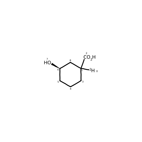 [2H]C1(C(=O)O)CCC[C@@H](O)C1